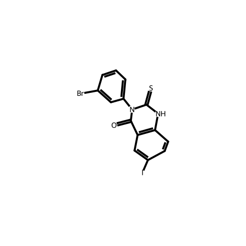 O=c1c2cc(I)ccc2[nH]c(=S)n1-c1cccc(Br)c1